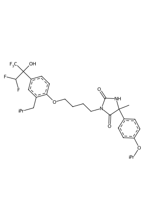 CC(C)Cc1cc(C(O)(C(F)F)C(F)(F)F)ccc1OCCCCN1C(=O)NC(C)(c2ccc(OC(C)C)cc2)C1=O